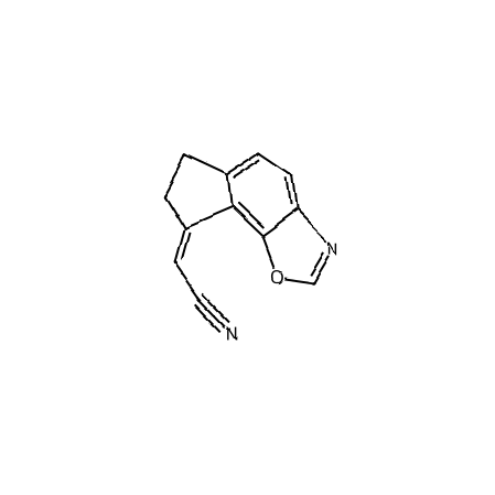 N#C/C=C1/CCc2ccc3ncoc3c21